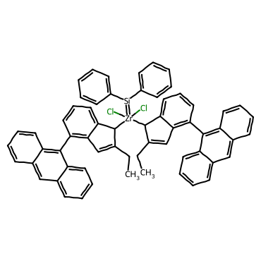 CCC1=Cc2c(-c3c4ccccc4cc4ccccc34)cccc2[CH]1[Zr]([Cl])([Cl])([CH]1C(CC)=Cc2c(-c3c4ccccc4cc4ccccc34)cccc21)=[Si](c1ccccc1)c1ccccc1